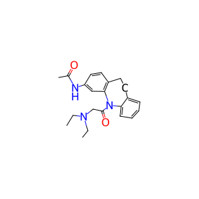 CCN(CC)CC(=O)N1c2ccccc2CCc2ccc(NC(C)=O)cc21